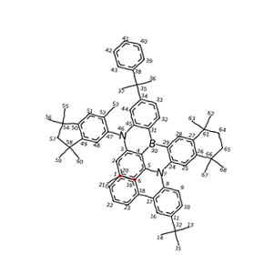 Cc1cc2c3c(c1)N(c1ccc(C(C)(C)C)cc1-c1ccccc1)c1cc4c(cc1B3c1ccc(C(C)(C)c3ccccc3)cc1N2c1cc2c(cc1C)C(C)(C)CC2(C)C)C(C)(C)CCC4(C)C